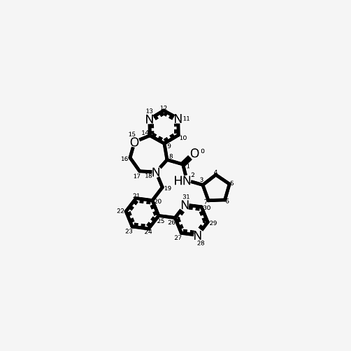 O=C(NC1CCCC1)C1c2cncnc2OCCN1Cc1ccccc1-c1cnccn1